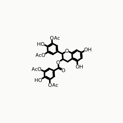 CC(=O)Oc1cc(C(=O)OC2Cc3c(O)cc(O)cc3OC2c2cc(OC(C)=O)c(O)c(OC(C)=O)c2)cc(OC(C)=O)c1O